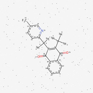 [2H]C([2H])([2H])C1=C(C([2H])([2H])c2ccc(C(F)(F)F)cn2)C(=O)c2ccccc2C1=O